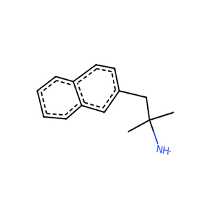 CC(C)([NH])Cc1ccc2ccccc2c1